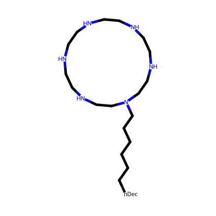 CCCCCCCCCCCCCCCCN1CCNCCNCCNCCNCCNCC1